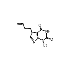 C=CCCn1cnc2c1c(=O)[nH]c(=O)n2CC